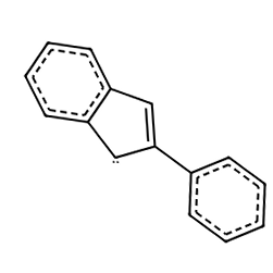 [C]1C(c2ccccc2)=Cc2ccccc21